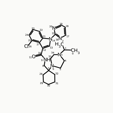 CC(C)N1CCN(C2(CNC(=O)c3cn(-c4ncccn4)c4cccc(Cl)c34)CCCCC2)CC1